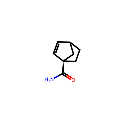 NC(=O)[C@]12C=CC(CC1)C2